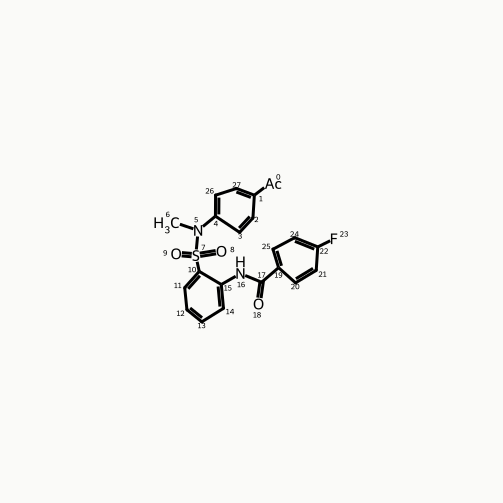 CC(=O)c1ccc(N(C)S(=O)(=O)c2ccccc2NC(=O)c2ccc(F)cc2)cc1